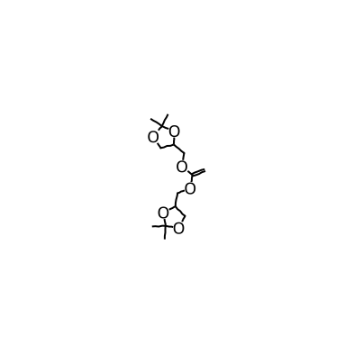 C=C(OCC1COC(C)(C)O1)OCC1COC(C)(C)O1